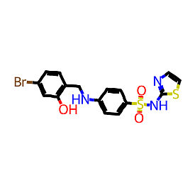 O=S(=O)(Nc1nccs1)c1ccc(NCc2ccc(Br)cc2O)cc1